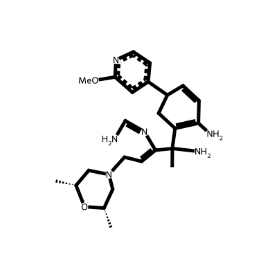 COc1cc(C2C=CC(N)=C(C(C)(N)C(=C/CN3C[C@@H](C)O[C@@H](C)C3)/N=C\N)C2)ccn1